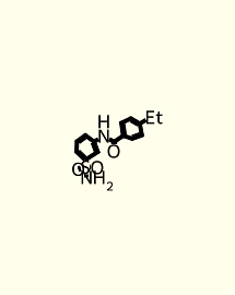 CCc1ccc(C(=O)Nc2cccc(S(N)(=O)=O)c2)cc1